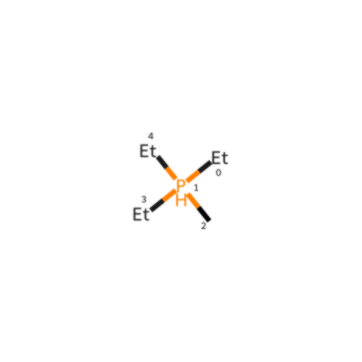 [CH2]C[PH](C)(CC)CC